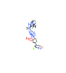 Cn1c(F)cc(-c2ccc(-c3ncc(N(C4CC4)[C@H]4C[C@@H]5CCC[C@](C)(C4)N5)nn3)c(O)c2)cc1=O